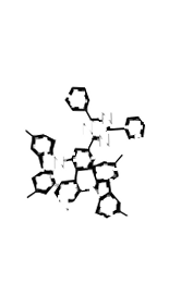 Cc1ccc2c(c1)c1cc(C)ccc1n2-c1cnccc1-c1ccc(-c2nc(-c3ccccc3)nc(-c3ccccc3)n2)cc1-n1c2ccc(C)cc2c2cc(C)ccc21